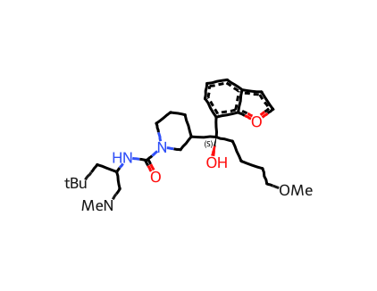 CNCC(CC(C)(C)C)NC(=O)N1CCCC([C@@](O)(CCCCOC)c2cccc3ccoc23)C1